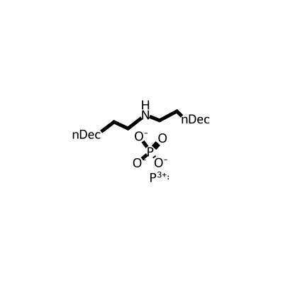 CCCCCCCCCCCCNCCCCCCCCCCCC.O=P([O-])([O-])[O-].[P+3]